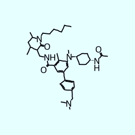 CCCCCCN1C(=O)C(CNC(=O)c2cc(-c3ccc(CN(C)C)cc3)cc(N(C)[C@H]3CC[C@H](NC(C)=O)CC3)c2C)C(C)CC1C